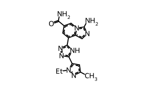 CCn1nc(C)cc1-c1nnc(-c2cc(C(N)=O)cn3c(N)ncc23)[nH]1